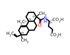 C=C[C@]1(C)CC=C2C(CCC3[C@@](C)(C(=O)N[C@@H](CCC(=O)O)C(=O)O)CCC[C@]23C)C1